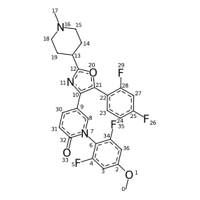 COc1cc(F)c(-n2cc(-c3nc(C4CCN(C)CC4)oc3-c3ccc(F)cc3F)ccc2=O)c(F)c1